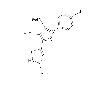 CNc1c(C)c(C2=CN(C)NC2)nn1-c1ccc(F)cc1